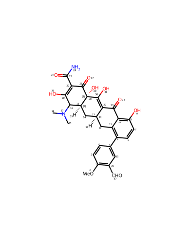 COc1ccc(-c2ccc(O)c3c2C[C@H]2C[C@H]4C(N(C)C)C(O)=C(C(N)=O)C(=O)[C@@]4(O)C(O)=C2C3=O)cc1C=O